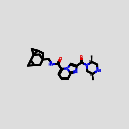 C[C@H]1CN(C(=O)c2cn3c(C(=O)NCC45CC6CC6C6(CC6C4)C5)cccc3n2)[C@@H](C)CN1